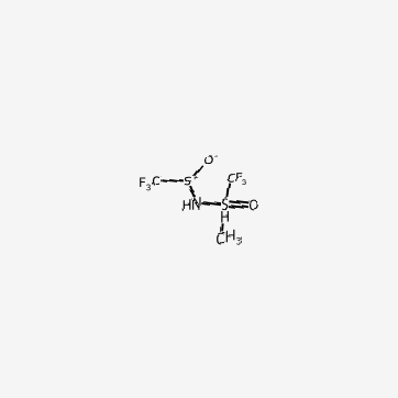 C[SH](=O)(N[S+]([O-])C(F)(F)F)C(F)(F)F